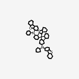 c1ccc(N(c2ccc3c(c2)-c2ccccc2C32c3cccc(N(c4ccccc4)c4cccc5c4oc4ccccc45)c3-c3sc4ccccc4c32)c2ccc3sc4ccccc4c3c2)cc1